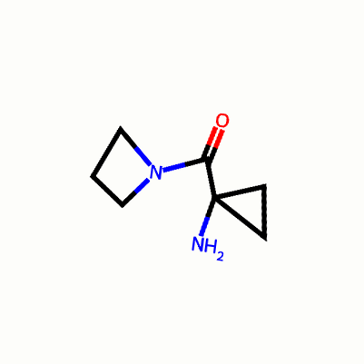 NC1(C(=O)N2CCC2)CC1